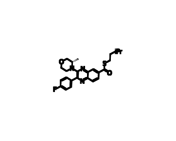 CC(C)CCSC(=O)c1ccc2nc(-c3ccc(F)cc3)c(N3CCOC[C@@H]3C)nc2c1